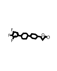 O=C1CC(C2CCC(C3CCC(c4cc(F)c(F)c(F)c4)CC3)CC2)O1